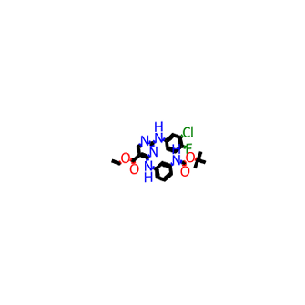 CCOC(=O)c1cnc(Nc2ccc(F)c(Cl)c2)nc1Nc1cccc(NC(=O)OC(C)(C)C)c1